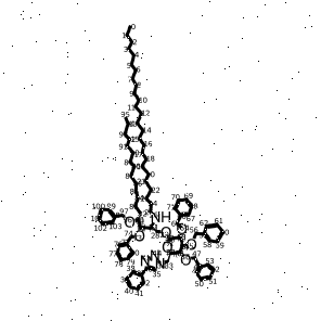 CCCCCCCCCCCCCCCCCCCCCCCCCCN[C@@H](CO[C@H]1O[C@H](Cn2cc(-c3ccccc3)nn2)[C@H](OCc2ccccc2)[C@H](OCc2ccccc2)[C@H]1OCc1ccccc1)[C@H](OCc1ccccc1)[C@@H](CCCCCCCCCCCCCC)OCc1ccccc1